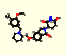 COc1cc(CN2CCCC[C@H]2COc2ccc3c(c2)CN(C2CCC(=O)NC2=O)C3=O)ccc1C